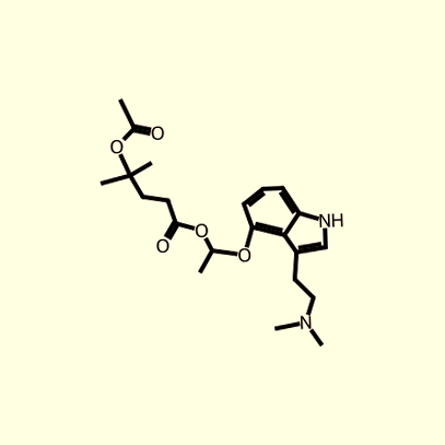 CC(=O)OC(C)(C)CCC(=O)OC(C)Oc1cccc2[nH]cc(CCN(C)C)c12